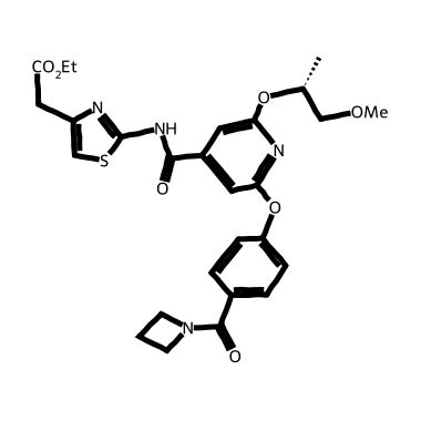 CCOC(=O)Cc1csc(NC(=O)c2cc(Oc3ccc(C(=O)N4CCC4)cc3)nc(O[C@H](C)COC)c2)n1